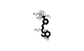 C[C@H](/C=C/c1cccc(C(C)(C)O[Si](C)(C)C)c1)[C@H]1CC[C@H]2C(=O)CCC[C@]12C